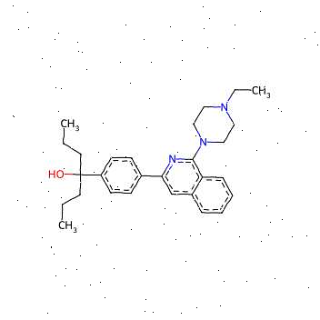 CCCC(O)(CCC)c1ccc(-c2cc3ccccc3c(N3CCN(CC)CC3)n2)cc1